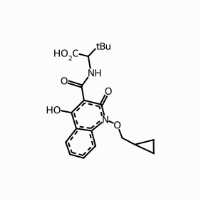 CC(C)(C)C(NC(=O)c1c(O)c2ccccc2n(OCC2CC2)c1=O)C(=O)O